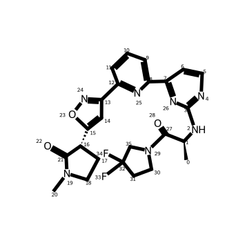 C[C@H](Nc1nccc(-c2cccc(-c3cc([C@@H]4CCN(C)C4=O)on3)n2)n1)C(=O)N1CCC(F)(F)C1